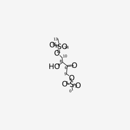 CS(=O)(=O)OCC(=O)C(O)COS(C)(=O)=O